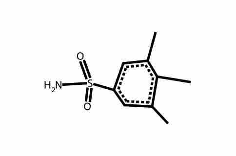 Cc1cc(S(N)(=O)=O)cc(C)c1C